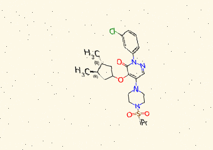 CC(C)S(=O)(=O)N1CCN(c2cnn(-c3cccc(Cl)c3)c(=O)c2OC2C[C@@H](C)[C@H](C)C2)CC1